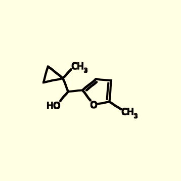 Cc1ccc(C(O)C2(C)CC2)o1